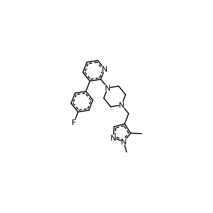 Cc1c(CN2CCN(c3ncccc3-c3ccc(F)cc3)CC2)cnn1C